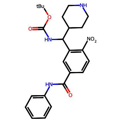 CC(C)(C)OC(=O)NC(c1cc(C(=O)Nc2ccccc2)ccc1[N+](=O)[O-])C1CCNCC1